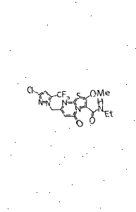 CCNC(=O)c1c(OC)sc2nc(Cn3nc(Cl)cc3C(F)(F)F)cc(=O)n12